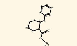 COC(=O)C1CNCCN1Cc1ccccc1